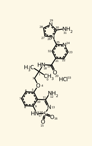 CC(C)(COc1cccc2c1C(N)=NS(=O)(=O)N2)NC(=O)c1ccnc(-n2ccnc2N)c1.Cl